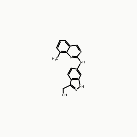 Cc1cccc2cnc(Nc3ccc4c(CO)n[nH]c4c3)nc12